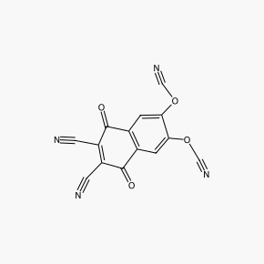 N#COc1cc2c(cc1OC#N)C(=O)C(C#N)=C(C#N)C2=O